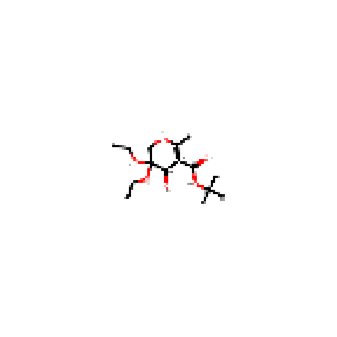 CCOC1(OCC)COC(C)=C(C(=O)OC(C)(C)C)C1=O